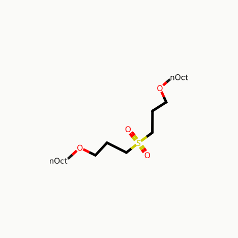 CCCCCCCCOCCCS(=O)(=O)CCCOCCCCCCCC